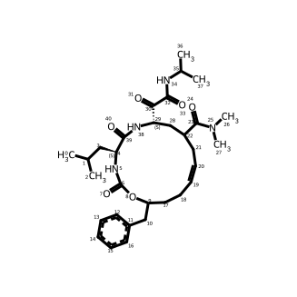 CC(C)C[C@@H]1NC(=O)OC(Cc2ccccc2)CCC=CCC(C(=O)N(C)C)C[C@@H](C(=O)C(=O)NC(C)C)NC1=O